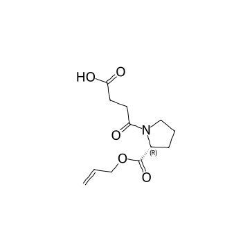 C=CCOC(=O)[C@H]1CCCN1C(=O)CCC(=O)O